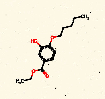 CCCCCOc1ccc(C(=O)OCC)cc1O